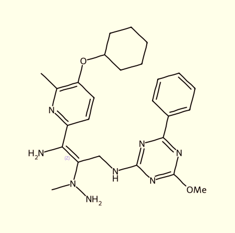 COc1nc(NC/C(=C(/N)c2ccc(OC3CCCCC3)c(C)n2)N(C)N)nc(-c2ccccc2)n1